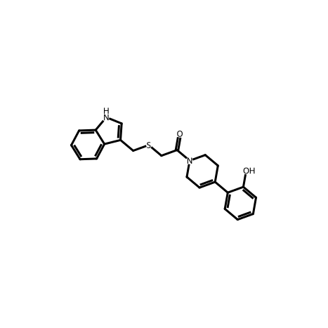 O=C(CSCc1c[nH]c2ccccc12)N1CC=C(c2ccccc2O)CC1